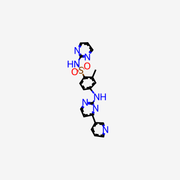 Cc1cc(Nc2nccc(-c3cccnc3)n2)ccc1S(=O)(=O)Nc1ncccn1